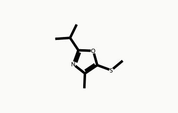 CSc1oc(C(C)C)nc1C